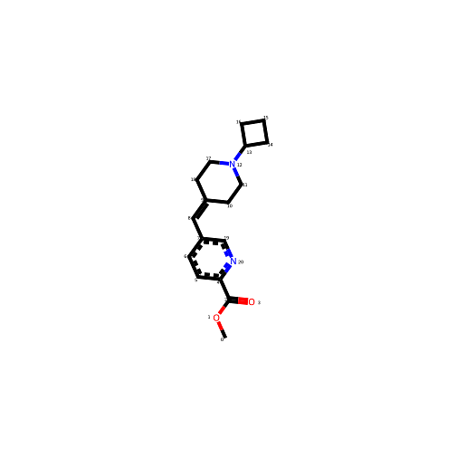 COC(=O)c1ccc(C=C2CCN(C3CCC3)CC2)cn1